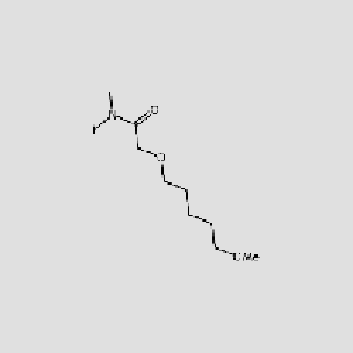 COCCCCCOCC(=O)N(C)I